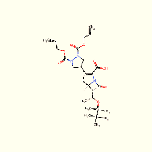 C=CCOC(=O)N1CC(C2=C(C(=O)O)N3C(=O)[C@H]([C@@H](C)O[Si](C)(C)C(C)(C)C)[C@H]3C2)CN1C(=O)OCC=C